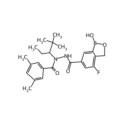 CCC(N(NC(=O)c1cc(F)c2c(c1)B(O)OC2)C(=O)c1cc(C)cc(C)c1)C(C)(C)C